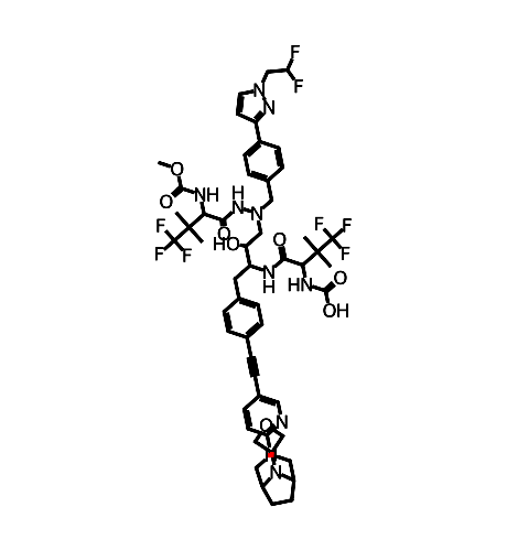 COC(=O)NC(C(=O)NN(Cc1ccc(-c2ccn(CC(F)F)n2)cc1)CC(O)C(Cc1ccc(C#Cc2ccc(N3CC4CCC(C3)N4C3COC3)nc2)cc1)NC(=O)C(NC(=O)O)C(C)(C)C(F)(F)F)C(C)(C)C(F)(F)F